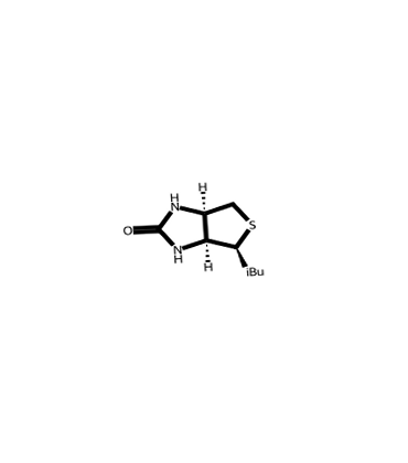 CCC(C)[C@@H]1SC[C@@H]2NC(=O)N[C@@H]21